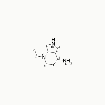 CCN1CCC(N)CC1.CNC